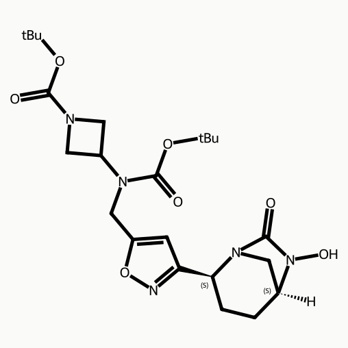 CC(C)(C)OC(=O)N1CC(N(Cc2cc([C@@H]3CC[C@H]4CN3C(=O)N4O)no2)C(=O)OC(C)(C)C)C1